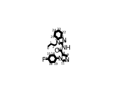 CCCn1c(NC(=O)c2cncn2-c2ccc(F)cc2)nc2ccccc21